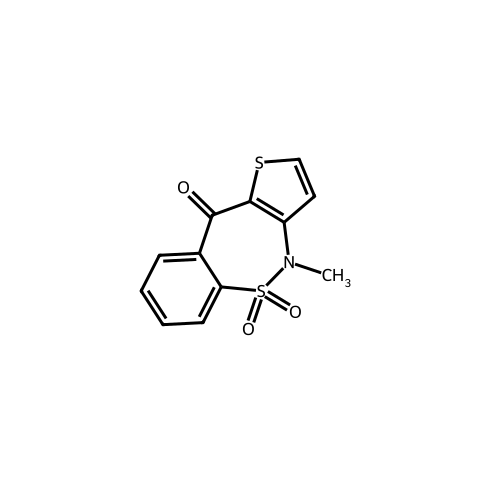 CN1c2ccsc2C(=O)c2ccccc2S1(=O)=O